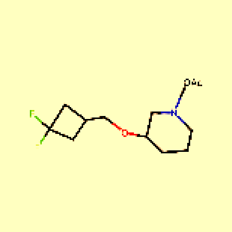 CC(=O)ON1CCCC(OCC2CC(F)(F)C2)C1